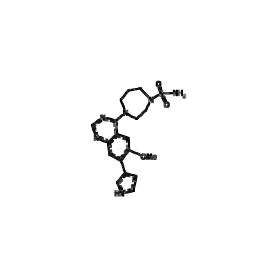 COc1cc2c(N3CCCN(S(N)(=O)=O)CC3)ncnc2cc1-c1cc[nH]c1